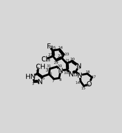 Cc1[nH]cnc1C1CCN(c2nc(N3CCOCC3)ncc2-c2ccc(F)c(Cl)c2)CC1